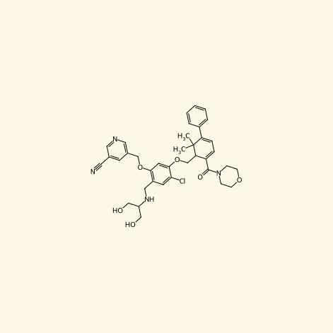 CC1(C)C(c2ccccc2)=CC=C(C(=O)N2CCOCC2)C1COc1cc(OCc2cncc(C#N)c2)c(CNC(CO)CO)cc1Cl